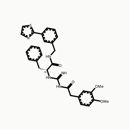 COc1ccc(CC(=O)NC(=N)N[C@H](Cc2ccccc2)C(=O)NCc2cccc(-c3nccs3)c2)cc1OC